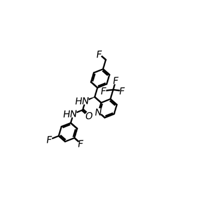 O=C(Nc1cc(F)cc(F)c1)N[C@@H](c1ccc(CF)cc1)c1ncccc1C(F)(F)F